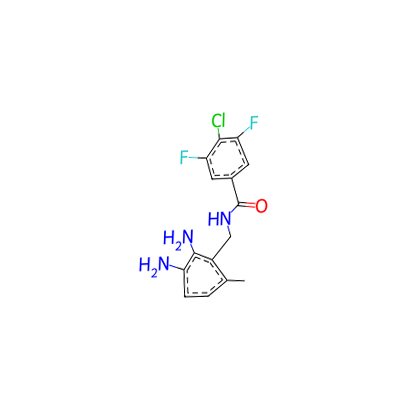 Cc1ccc(N)c(N)c1CNC(=O)c1cc(F)c(Cl)c(F)c1